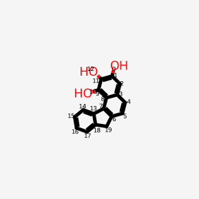 Oc1cc2ccc3c(c2c(O)c1O)-c1ccccc1C3